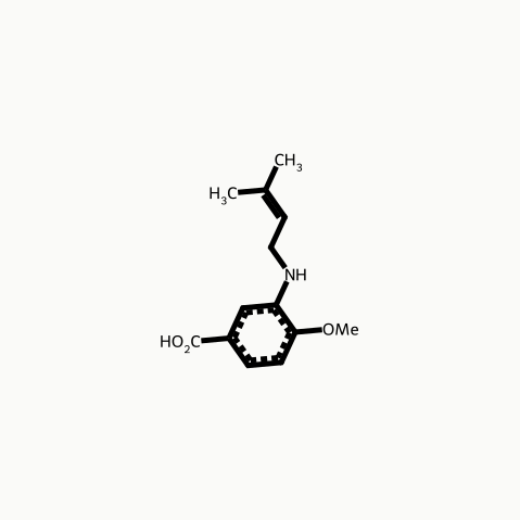 COc1ccc(C(=O)O)cc1NCC=C(C)C